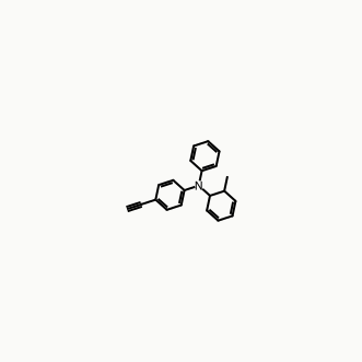 C#Cc1ccc(N(c2ccccc2)C2C=CC=CC2C)cc1